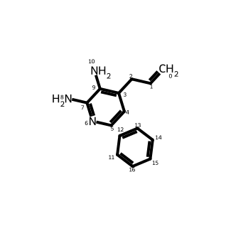 C=CCc1ccnc(N)c1N.c1ccccc1